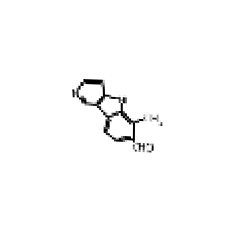 Cc1c(C=O)ccc2c1[nH]c1ccncc12